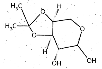 CC1(C)O[C@H]2[C@H](COC(O)[C@@H]2O)O1